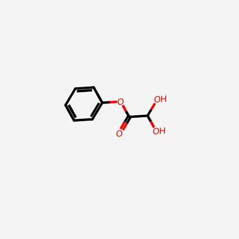 O=C(Oc1ccccc1)C(O)O